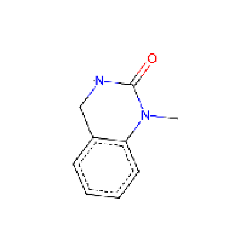 CN1C(=O)[N]Cc2ccccc21